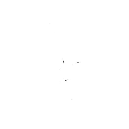 CC(=O)OCC(=O)[C@@]1(O)CC[C@H]2[C@@H]3CC(F)C4=CC(=O)C=C[C@]4(C)[C@@]3(CCl)C(CCl)C[C@@]21C